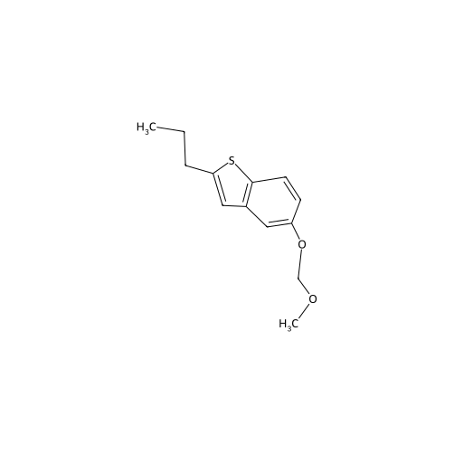 CCCc1cc2cc(OCOC)ccc2s1